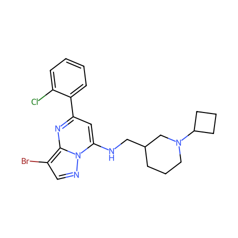 Clc1ccccc1-c1cc(NCC2CCCN(C3CCC3)C2)n2ncc(Br)c2n1